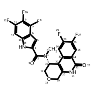 CN(C(=O)c1cc2c(F)c(F)c(F)cc2[nH]1)[C@H]1COCc2[nH]c(=O)c3cc(F)c(F)cc3c21